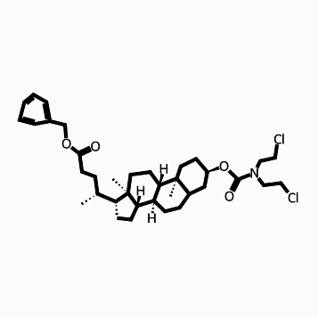 C[C@H](CCC(=O)OCc1ccccc1)[C@H]1CC[C@H]2[C@@H]3CCC4C[C@H](OC(=O)N(CCCl)CCCl)CC[C@]4(C)[C@H]3CC[C@]12C